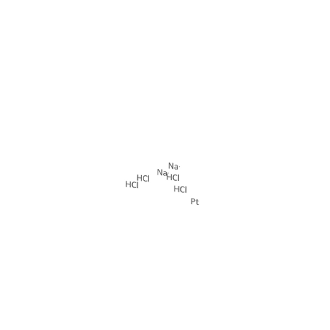 Cl.Cl.Cl.Cl.[Na].[Na].[Pt]